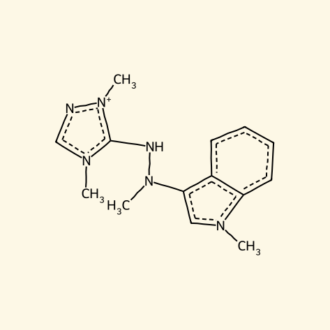 CN(Nc1n(C)cn[n+]1C)c1cn(C)c2ccccc12